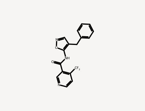 O=C(Nc1oncc1Cc1ccccc1)c1cnccc1C(F)(F)F